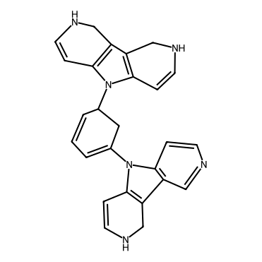 C1=CC(n2c3c(c4c2C=CNC4)CNC=C3)CC(n2c3c(c4cnccc42)CNC=C3)=C1